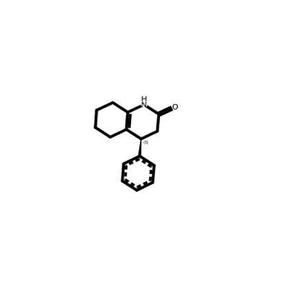 O=C1C[C@@H](c2ccccc2)C2=C(CCCC2)N1